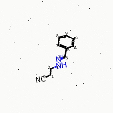 N#CCCN/N=C/c1ccccc1